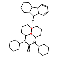 O=C(N(C1CCCCC1)C1CCCCC1)N(C1CCCCC1)C1CCCCC1.[Ti][CH]1C2C=CC=CC2C2CCCCC12